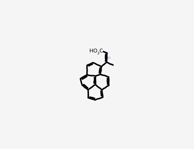 C/C(=C/C(=O)O)c1ccc2ccc3cccc4ccc1c2c34